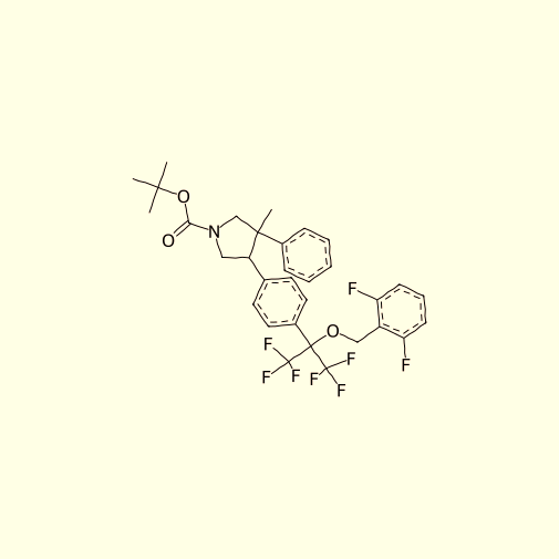 CC(C)(C)OC(=O)N1CC(c2ccc(C(OCc3c(F)cccc3F)(C(F)(F)F)C(F)(F)F)cc2)C(C)(c2ccccc2)C1